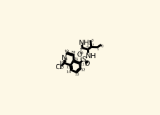 CCC(C)C(CN)NS(=O)(=O)c1cccc2c(Cl)nccc12